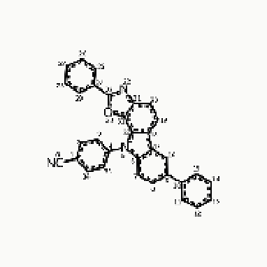 N#Cc1ccc(-n2c3ccc(-c4ccccc4)cc3c3ccc4nc(-c5ccccc5)oc4c32)cc1